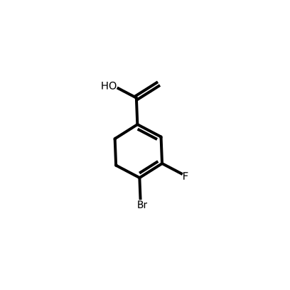 C=C(O)C1=CC(F)=C(Br)CC1